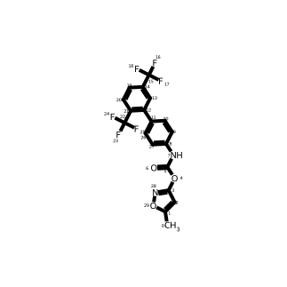 Cc1cc(OC(=O)Nc2ccc(-c3cc(C(F)(F)F)ccc3C(F)(F)F)cc2)no1